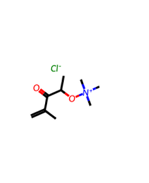 C=C(C)C(=O)C(C)O[N+](C)(C)C.[Cl-]